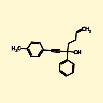 C=CCCC(O)(C#Cc1ccc(C)cc1)c1ccccc1